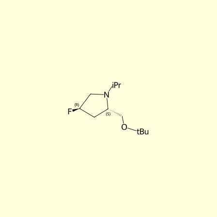 CC(C)N1C[C@H](F)C[C@H]1COC(C)(C)C